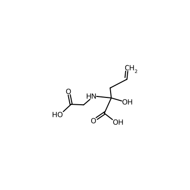 C=CCC(O)(NCC(=O)O)C(=O)O